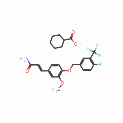 COc1cc(/C=C/C(N)=O)ccc1OCc1ccc(F)c(C(F)(F)F)c1.O=C(O)C1CCCCC1